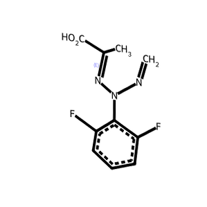 C=NN(/N=C(\C)C(=O)O)c1c(F)cccc1F